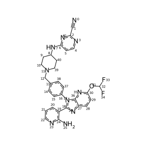 N#Cc1nccc(NC2CCN(Cc3ccc(-n4c(-c5cccnc5N)nc5ccc(OC(F)F)nc54)cc3)CC2)n1